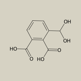 O=C(O)c1cccc(C(O)O)c1C(=O)O